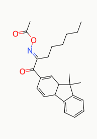 CCCCCC/C(=N\OC(C)=O)C(=O)C1=CC2C(C=C1)c1ccccc1C2(C)C